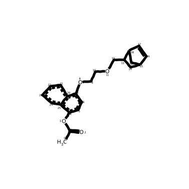 CC(=O)Oc1ccc(OCCOCC2CC3C=CC2C3)c2ccccc12